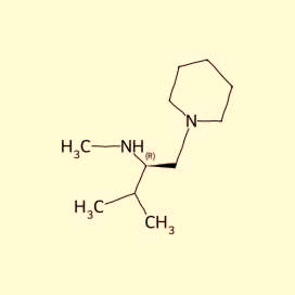 CN[C@@H](CN1CCCCC1)C(C)C